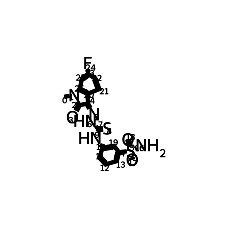 CN1C(=O)C(=NNC(=S)Nc2cccc(S(N)(=O)=O)c2)c2ccc(F)cc21